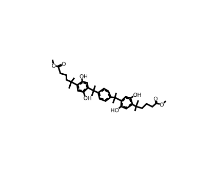 COC(=O)CCCC(C)(C)c1cc(O)c(C(C)(C)c2ccc(C(C)(C)c3cc(O)c(C(C)(C)CCCC(=O)OC)cc3O)cc2)cc1O